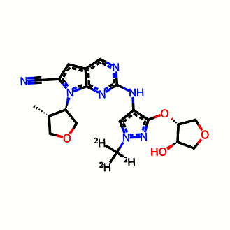 [2H]C([2H])([2H])n1cc(Nc2ncc3cc(C#N)n([C@H]4COC[C@@H]4C)c3n2)c(O[C@@H]2COC[C@H]2O)n1